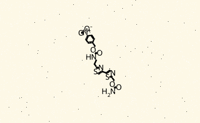 NC(=O)OCc1n[c]c(-c2csc(CCNC(=O)OCc3ccc([N+](=O)[O-])cc3)n2)s1